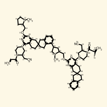 C=CC(=O)N1CCN(c2nc(OCC3CCCN3C)nc3c2CCC2(CCc4c(cccc4C4CC(COc5nc6c(c(N7CCN(C(=O)C(=C)F)C(CC#N)C7)n5)CCC5(CCc7ccccc7C5)C6)N(C)C4)C2)C3)CC1CC#N